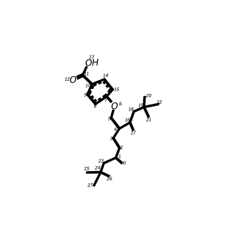 CC(CCC(COc1ccc(C(=O)O)cc1)C(C)CC(C)(C)C)CC(C)(C)C